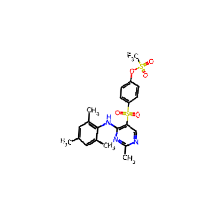 Cc1cc(C)c(Nc2nc(C)ncc2S(=O)(=O)c2ccc(OS(=O)(=O)C(F)(F)F)cc2)c(C)c1